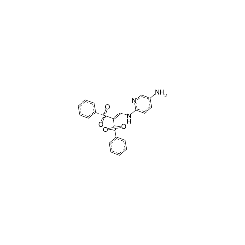 Nc1ccc(NC=C(S(=O)(=O)c2ccccc2)S(=O)(=O)c2ccccc2)nc1